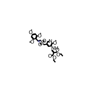 CCOC(=O)C(=CNc1cc(CS(=O)(=O)/C=C/c2c(OC)cc(OC)cc2OC)cnc1OC)C(=O)OCC